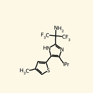 Cc1csc(-c2[nH]c(C(N)(C(F)(F)F)C(F)(F)F)nc2C(C)C)c1